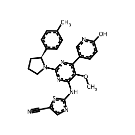 COc1c(Nc2ncc(C#N)s2)nc(N2CCC[C@H]2c2ccc(C)cc2)nc1-c1ccc(O)nc1